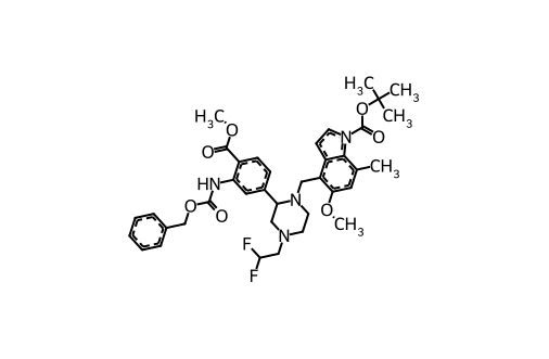 COC(=O)c1ccc(C2CN(CC(F)F)CCN2Cc2c(OC)cc(C)c3c2ccn3C(=O)OC(C)(C)C)cc1NC(=O)OCc1ccccc1